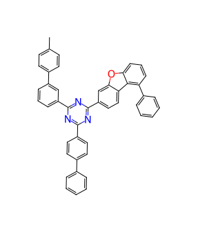 Cc1ccc(-c2cccc(-c3nc(-c4ccc(-c5ccccc5)cc4)nc(-c4ccc5c(c4)oc4cccc(-c6ccccc6)c45)n3)c2)cc1